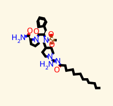 CCCCCCCCCCCC(=O)N=C(N)N1CCC(CN([C@H](Cc2ccccc2)C(=O)N2CCC[C@H]2C(N)=O)S(C)(=O)=O)CC1